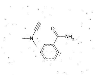 C#CN(C)C.NC(=O)c1ccccc1